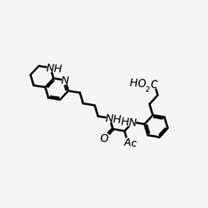 CC(=O)C(Nc1ccccc1CCC(=O)O)C(=O)NCCCCc1ccc2c(n1)NCCC2